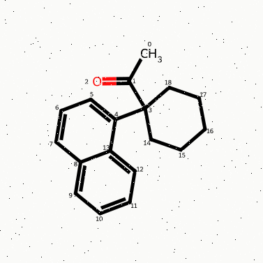 CC(=O)C1(c2cccc3ccccc23)CCCCC1